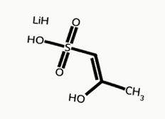 CC(O)=CS(=O)(=O)O.[LiH]